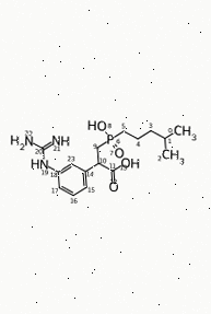 CC(C)CCCP(=O)(O)CC(C(=O)O)c1cccc(NC(=N)N)c1